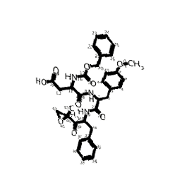 COc1ccc(CC(NC(=O)C(CC(=O)O)NC(=O)OCc2ccccc2)C(=O)NC(Cc2ccccc2)C(=O)C2(C)CO2)cc1